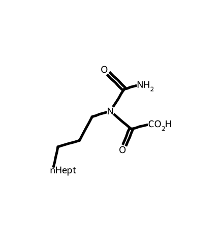 CCCCCCCCCCN(C(N)=O)C(=O)C(=O)O